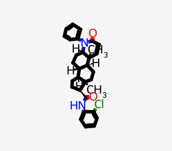 C[C@]12C=CC(=O)N(c3ccccc3)[C@@H]1CC[C@@H]1[C@@H]2CC[C@]2(C)[C@@H](C(=O)Nc3ccccc3Cl)CC[C@@H]12